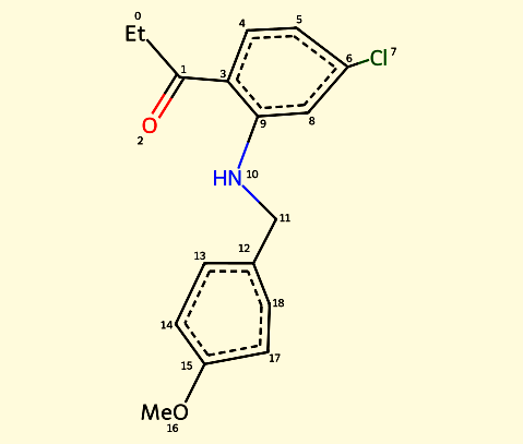 CCC(=O)c1ccc(Cl)cc1NCc1ccc(OC)cc1